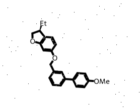 CC[C@@H]1COc2cc(OCc3cccc(-c4ccc(OC)cc4)c3)ccc21